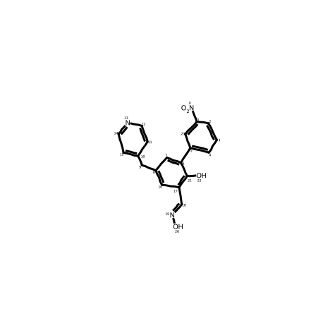 O=[N+]([O-])c1cccc(-c2cc(Cc3ccncc3)cc(/C=N/O)c2O)c1